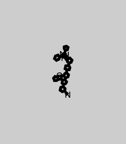 N#Cc1cccc(-c2ccc3c4ccc(-c5ccc(-c6cccc(-c7nc(-c8ccccc8)nc(-c8ccccc8)n7)c6)cc5)cc4c4oc5ccccc5c4c3c2)c1